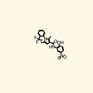 Cc1cc(C(=O)Nc2cc([N+](=O)[O-])ccc2O)c(C)n1-c1ccccc1C(F)(F)F